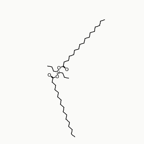 CCCCCCCCCCCCCCCCC(=O)O[Si](CCC)(CCC)OC(=O)CCCCCCCCCCCCCCCC